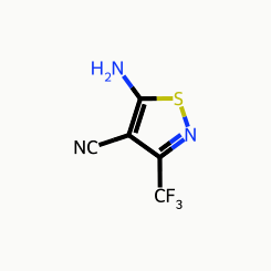 N#Cc1c(C(F)(F)F)nsc1N